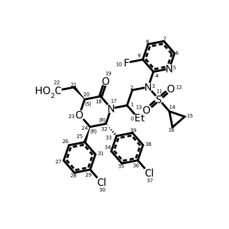 CCC(CN(c1ncccc1F)S(=O)(=O)C1CC1)N1C(=O)[C@H](CC(=O)O)O[C@H](c2cccc(Cl)c2)[C@H]1c1ccc(Cl)cc1